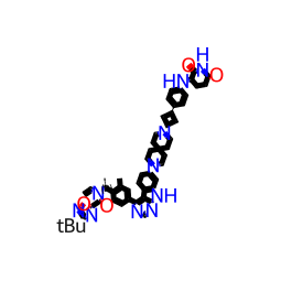 C=CN(C(=O)c1nc(C(C)(C)C)no1)[C@H](C)c1ccc(-c2ncnc3[nH]c4c(c23)CCC(N2CCC3(CC2)CCN([C@H]2C[C@@H](c5ccc(NC6CCC(=O)NC6=O)cc5)C2)CC3)=C4)cc1C